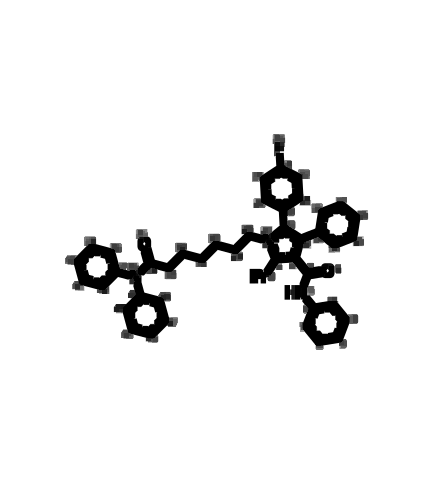 CC(C)c1c(C(=O)Nc2ccccc2)c(-c2ccccc2)c(-c2ccc(F)cc2)n1CCCCCCC(=O)N(c1ccccc1)c1ccccc1